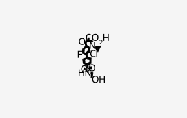 O=C(O)c1cn(C2CC2)c2c(Cl)c(-c3ccc(S(=O)(=O)NCCO)cc3)c(F)cc2c1=O